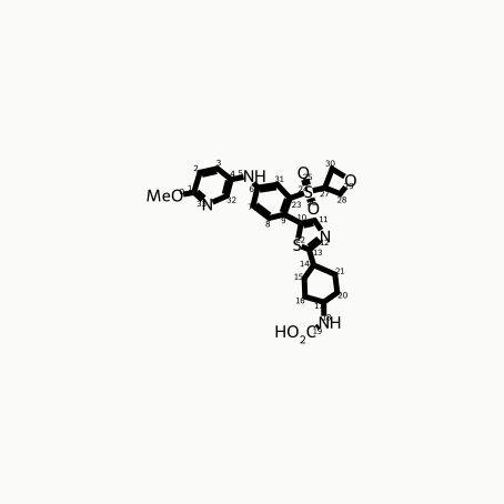 COc1ccc(Nc2ccc(-c3cnc(C4CCC(NC(=O)O)CC4)s3)c(S(=O)(=O)C3COC3)c2)cn1